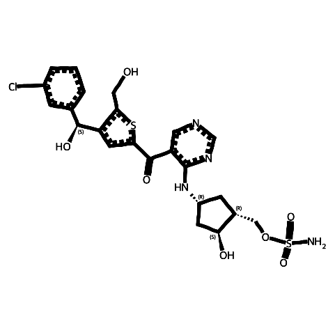 NS(=O)(=O)OC[C@H]1C[C@@H](Nc2ncncc2C(=O)c2cc([C@@H](O)c3cccc(Cl)c3)c(CO)s2)C[C@@H]1O